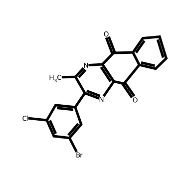 Cc1nc2c(nc1-c1cc(Cl)cc(Br)c1)C(=O)c1ccccc1C2=O